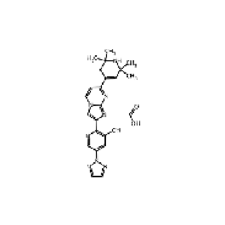 CC1(C)C=C(c2ccn3cc(-c4ncc(-n5nccn5)cc4O)nc3n2)CC(C)(C)N1.O=CO